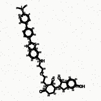 CN(C)c1ccc(-c2ccc(-c3nc4ccc(NCCOCCN5C(=O)CCC(N6Cc7cc(O)ccc7C6=O)C5=O)cc4s3)cc2)cn1